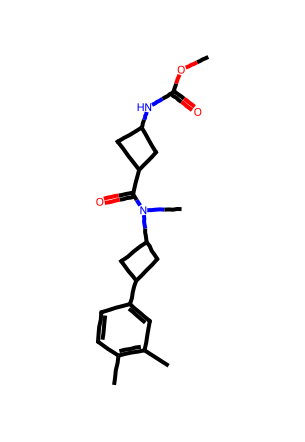 COC(=O)NC1CC(C(=O)N(C)C2CC(c3ccc(C)c(C)c3)C2)C1